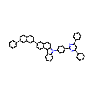 c1ccc(-c2ccc3ccc(-c4ccc5c(ccc6c5c5ccccc5n6-c5ccc(-c6nc(-c7ccccc7)cc(-c7ccccc7)n6)cc5)c4)cc3c2)cc1